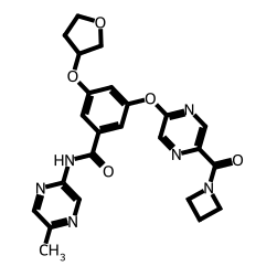 Cc1cnc(NC(=O)c2cc(Oc3cnc(C(=O)N4CCC4)cn3)cc(OC3CCOC3)c2)cn1